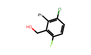 CC(C)c1c(Cl)ccc(F)c1CO